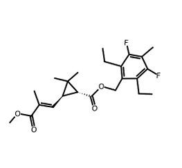 CCc1c(F)c(C)c(F)c(CC)c1COC(=O)[C@@H]1[C@@H](/C=C(\C)C(=O)OC)C1(C)C